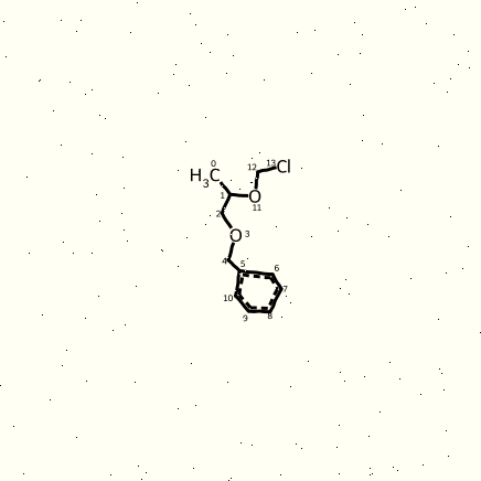 CC(COCc1ccccc1)OCCl